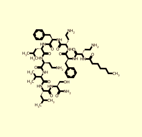 CCCCCCC(=O)N[C@@H](CCN)C(=O)N[C@@H](Cc1ccccc1)C(=O)N[C@@H](CCN)C(=O)N[C@H](Cc1ccccc1)C(=O)N[C@@H](CC(C)C)C(=O)N[C@@H](CCN)C(=O)N[C@@H](C(=O)N[C@@H](CC(C)C)C(=O)N[C@@H](CO)C(N)=O)C(C)C